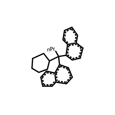 CCCC(c1cccc2ccccc12)(c1cccc2ccccc12)C1CCCCC1